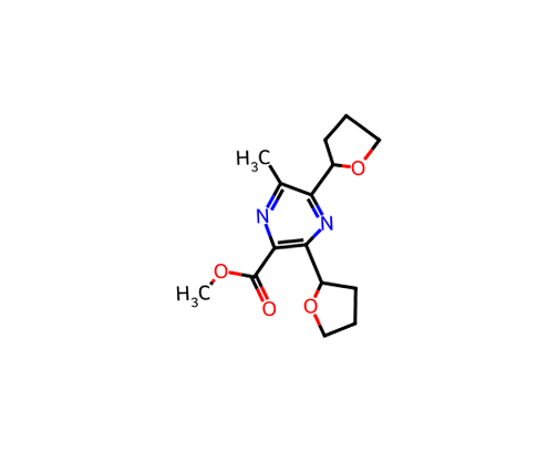 COC(=O)c1nc(C)c(C2CCCO2)nc1C1CCCO1